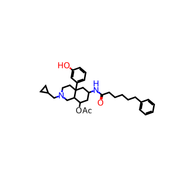 CC(=O)OC1CC(NC(=O)CCCCCc2ccccc2)CC2(c3cccc(O)c3)CCN(CC3CC3)CC12